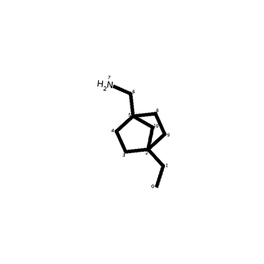 CCC12CCC(CN)(CC1)C2